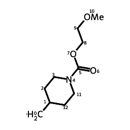 [CH2]C1CCN(C(=O)OCCOC)CC1